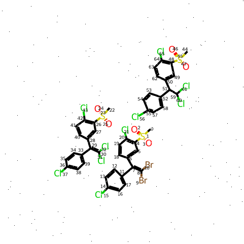 CS(=O)(=O)c1cc(C(=C(Br)Br)c2ccc(Cl)cc2)ccc1Cl.CS(=O)(=O)c1cc(C(=C(Cl)Cl)c2ccc(Cl)cc2)ccc1Cl.CS(=O)(=O)c1cc(C(c2ccc(Cl)cc2)C(Cl)Cl)ccc1Cl